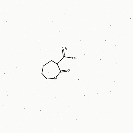 C=C(C)C1CCCCNC1=O